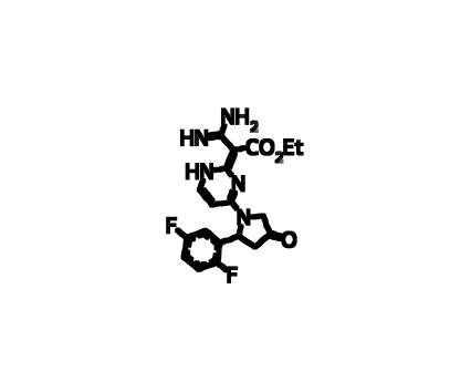 CCOC(=O)/C(C(=N)N)=C1\N=C(N2CC(=O)CC2c2cc(F)ccc2F)C=CN1